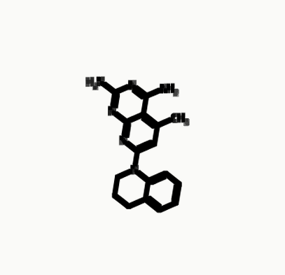 Cc1cc(N2CCCc3ccccc32)nc2nc(N)nc(N)c12